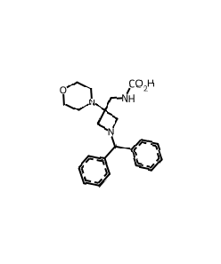 O=C(O)NCC1(N2CCOCC2)CN(C(c2ccccc2)c2ccccc2)C1